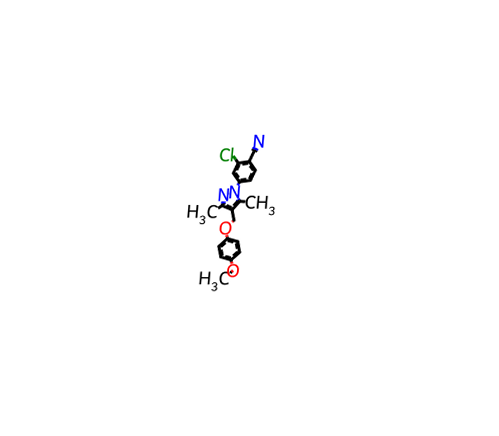 COc1ccc(OCc2c(C)nn(-c3ccc(C#N)c(Cl)c3)c2C)cc1